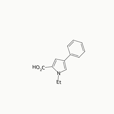 CCn1cc(-c2ccccc2)cc1C(=O)O